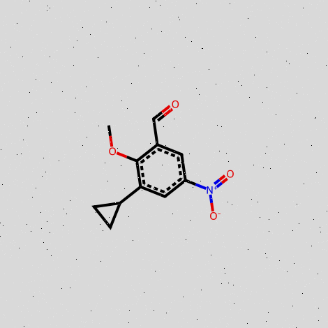 COc1c(C=O)cc([N+](=O)[O-])cc1C1CC1